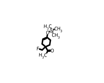 CC(=O)C1(CF)CC=C(O[Si](C)(C)C)CC1